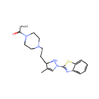 CCCCCC(=O)N1CCN(CCC2NN(c3nc4ccccc4s3)C=C2C)CC1